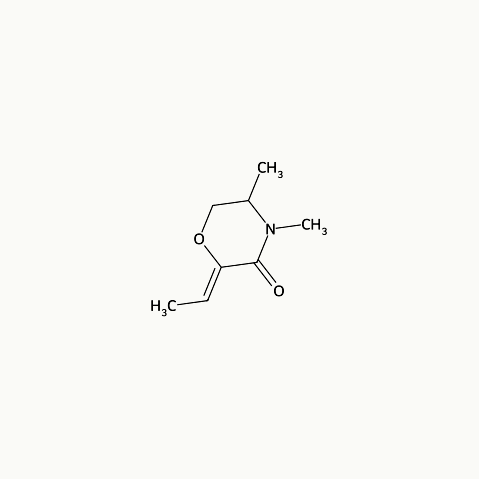 C/C=C1\OCC(C)N(C)C1=O